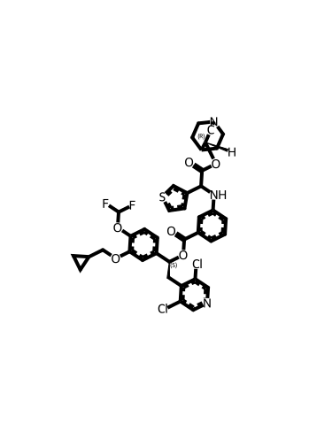 O=C(O[C@@H](Cc1c(Cl)cncc1Cl)c1ccc(OC(F)F)c(OCC2CC2)c1)c1cccc(NC(C(=O)O[C@H]2CN3CCC2CC3)c2ccsc2)c1